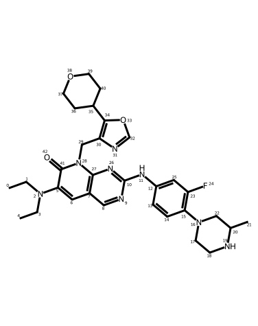 CCN(CC)c1cc2cnc(Nc3ccc(N4CCNC(C)C4)c(F)c3)nc2n(Cc2ncoc2C2CCOCC2)c1=O